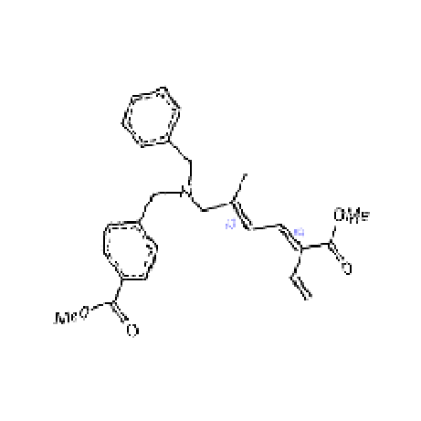 C=C/C(=C\C=C(/C)CN(Cc1ccccc1)Cc1ccc(C(=O)OC)cc1)C(=O)OC